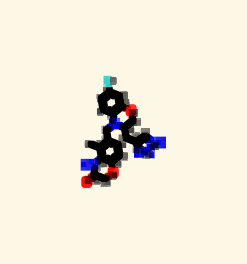 Cc1c(CN2c3ccc(F)cc3OCC2Cc2c[nH]nn2)ccc2c1NC(=O)CO2